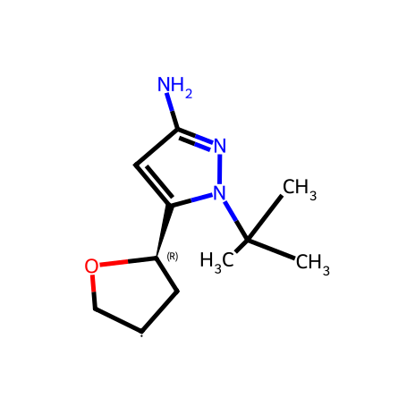 CC(C)(C)n1nc(N)cc1[C@H]1C[CH]CO1